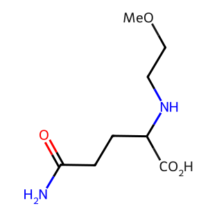 COCCNC(CCC(N)=O)C(=O)O